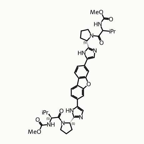 COC(=O)NC(C(=O)N1CCC[C@H]1c1ncc(-c2ccc3c(c2)oc2cc(-c4cnc([C@@H]5CCCN5C(=O)[C@@H](NC(=O)OC)C(C)C)[nH]4)ccc23)[nH]1)C(C)C